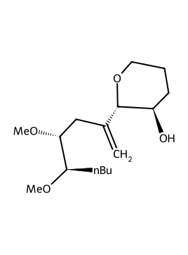 C=C(C[C@@H](OC)[C@@H](CCCC)OC)[C@@H]1OCCC[C@H]1O